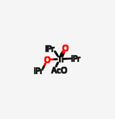 CC(=O)[O][Ti](=[O])([O]C(C)C)([CH](C)C)[CH](C)C